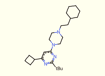 CC(C)(C)c1nc(C2CCC2)cc(N2CCN(CCC3CCCCC3)CC2)n1